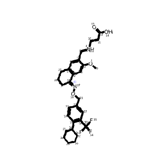 COc1cc2c(cc1CNCCC(=O)O)CCC/C2=N\OCc1ccc(C2CCCCC2)c(C(F)(F)F)c1